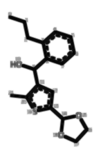 CCCc1ccccc1C(O)c1cc(C2OCCO2)sc1C